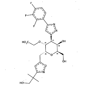 CC(C)(CO)c1cc(C[C@H]2O[C@H](CO)[C@H](O)[C@H](n3cc(-c4ccc(F)c(F)c4F)nn3)[C@H]2OCC(=O)O)on1